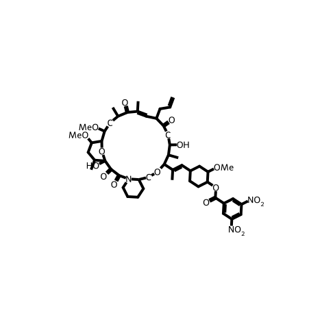 C=CCC1/C=C(\C)C(=O)C(C)CC(OC)C2OC(O)(C(=O)C(=O)N3CCCCC3COC(C(C)=CC3CCC(OC(=O)c4cc([N+](=O)[O-])cc([N+](=O)[O-])c4)C(OC)C3)C(C)C(O)CC1=O)C(C)CC2OC